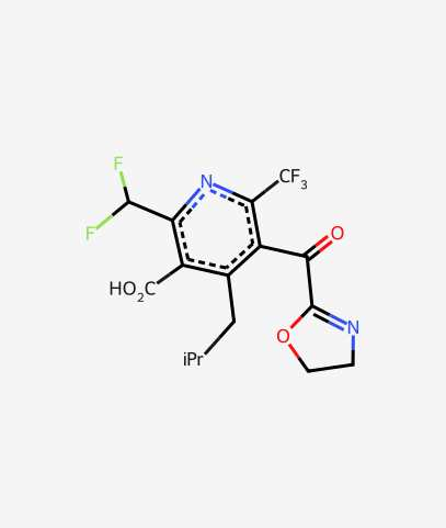 CC(C)Cc1c(C(=O)O)c(C(F)F)nc(C(F)(F)F)c1C(=O)C1=NCCO1